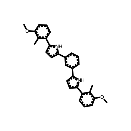 COc1cccc(-c2ccc(-c3cccc(-c4ccc(-c5cccc(OC)c5C)[nH]4)c3)[nH]2)c1C